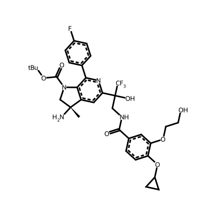 CC(C)(C)OC(=O)N1C[C@@](C)(N)c2cc(C(O)(CNC(=O)c3ccc(OC4CC4)c(OCCO)c3)C(F)(F)F)nc(-c3ccc(F)cc3)c21